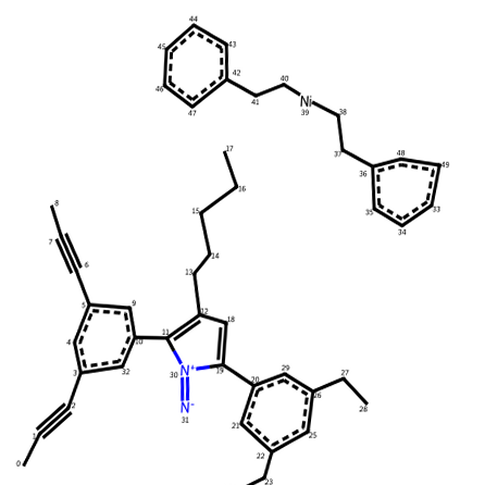 CC#Cc1cc(C#CC)cc(C2=C(CCCCC)C=C(c3cc(CC)cc(CC)c3)[N+]2=[N-])c1.c1ccc(C[CH2][Ni][CH2]Cc2ccccc2)cc1